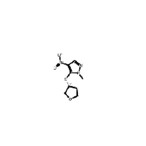 Cn1ncc([N+](=O)[O-])c1O[C@@H]1CCOC1